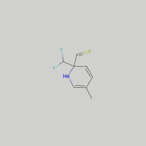 CC1=CNC(C=S)(C(F)F)C=C1